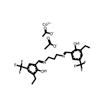 CC(=O)[O-].CC(=O)[O-].CCc1cc(C(F)(F)F)cc(C=NCCCN=Cc2cc(C(F)(F)F)cc(CC)c2O)c1O.[Co+2]